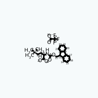 C[N+](C)(C)CCC(NC(=O)OCC1c2ccccc2-c2ccccc21)C(=O)O.O=C([O-])C(F)(F)F